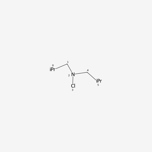 CC(C)CN(Cl)CC(C)C